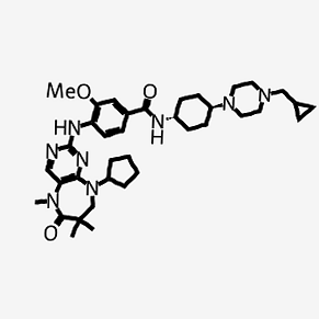 COc1cc(C(=O)N[C@H]2CC[C@H](N3CCN(CC4CC4)CC3)CC2)ccc1Nc1ncc2c(n1)N(C1CCCC1)CC(C)(C)C(=O)N2C